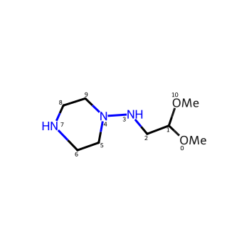 COC(CNN1CCNCC1)OC